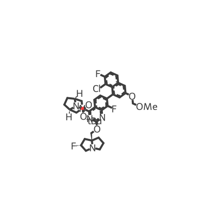 COCOc1cc(-c2ccc3c(N4C[C@H]5CC[C@@H](C4)N5C(=O)OC(C)(C)C)nc(OC[C@@]45CCCN4C[C@H](F)C5)nc3c2F)c2c(Cl)c(F)ccc2c1